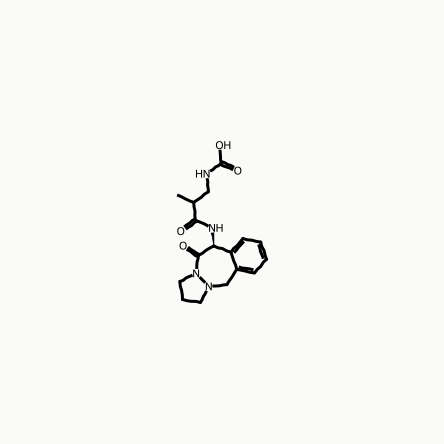 CC(CNC(=O)O)C(=O)N[C@@H]1C(=O)N2CCCN2Cc2ccccc21